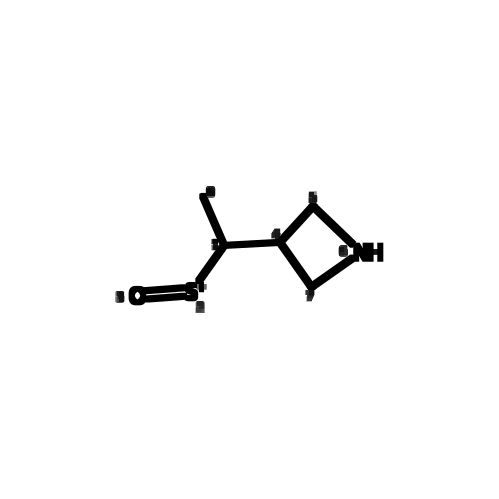 CC([S+]=O)C1CNC1